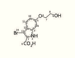 O=C(O)c1[nH]c2cc(OCCO)ccc2c1Br